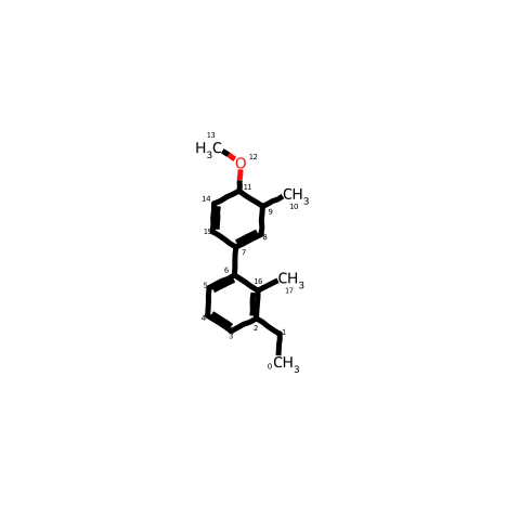 CCc1cccc(C2=CC(C)C(OC)C=C2)c1C